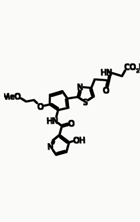 COCCOc1ccc(-c2nc(CC(=O)NCC(=O)O)cs2)cc1NC(=O)c1cnccc1O